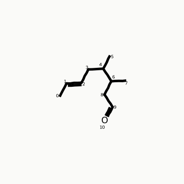 CC=CCC(C)C(C)CC=O